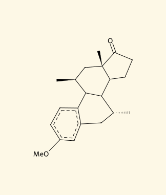 COc1ccc2c(c1)C[C@@H](C)C1C2[C@@H](C)C[C@]2(C)C(=O)CCC12